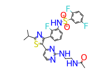 CC(=O)NCCNc1nccc(-c2sc(C(C)C)nc2-c2cccc(NS(=O)(=O)c3cc(F)ccc3F)c2F)n1